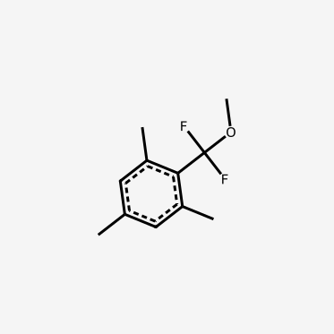 COC(F)(F)c1c(C)cc(C)cc1C